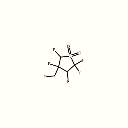 O=S1(=O)C(F)C(F)(CF)C(F)C1(F)F